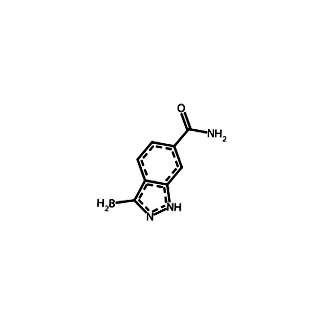 Bc1n[nH]c2cc(C(N)=O)ccc12